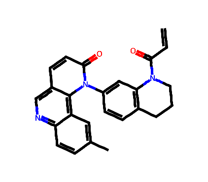 C=CC(=O)N1CCCc2ccc(-n3c(=O)ccc4cnc5ccc(C)cc5c43)cc21